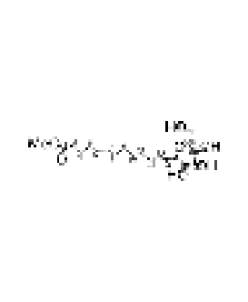 COC(=O)CCCCCCCCCCCSC1O[C@H](CO)[C@@H](O)[C@H](O)[C@H]1O